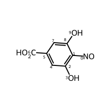 O=Nc1c(O)cc(C(=O)O)cc1O